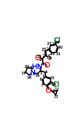 O=C(NC(Cc1ccc(OC2CC2)c(Cl)c1)CN1CCCC1)C(=O)c1cc2cc(Cl)ccc2s1